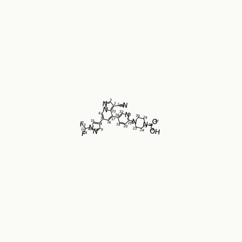 N#Cc1cnn2cc(-c3cnn(C(F)F)c3)cc(-c3ccc(N4CCN(C(=O)O)CC4)nc3)c12